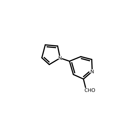 O=Cc1cc(-n2cccc2)ccn1